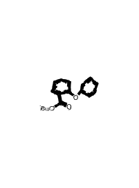 CC(C)COC(=O)c1ccccc1Oc1ccccc1